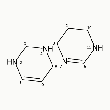 C1=CNCNC1.C1=NCCCN1